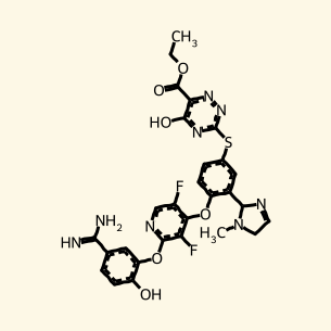 CCOC(=O)c1nnc(Sc2ccc(Oc3c(F)cnc(Oc4cc(C(=N)N)ccc4O)c3F)c(C3N=CCN3C)c2)nc1O